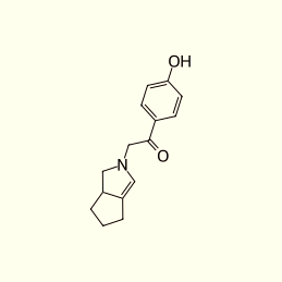 O=C(CN1C=C2CCCC2C1)c1ccc(O)cc1